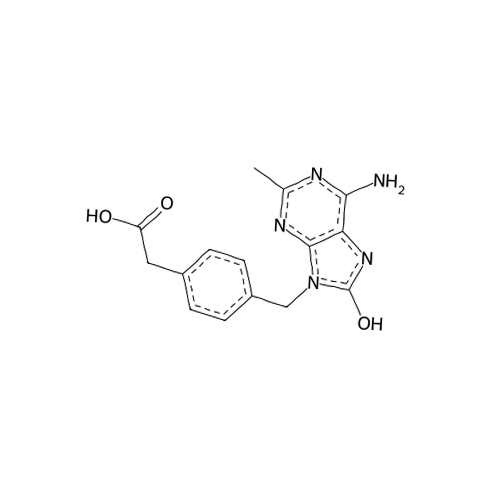 Cc1nc(N)c2nc(O)n(Cc3ccc(CC(=O)O)cc3)c2n1